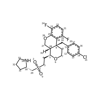 O=S(=O)(CC[C@@H]1OCC[C@@]2(Cc3ccc(Cl)cc3)c3c(F)ccc(F)c3OC[C@@H]12)C[C@@H]1CCCN1